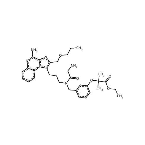 CCCOCc1nc2c(N)nc3ccccc3c2n1CCCN(Cc1cccc(OC(C)(C)C(=O)OCC)c1)C(=O)CN